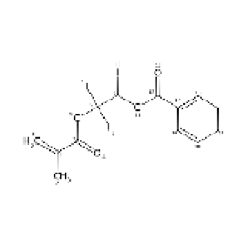 C=C(C)C(=O)OC(I)(I)C(I)OC(=O)c1ccccc1